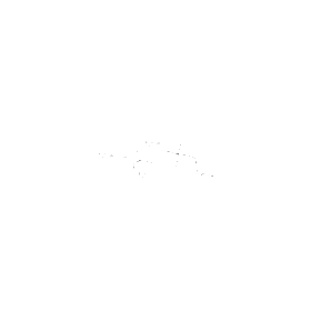 CCNCC(C)(C)CC[Si](OC)(OC)OC